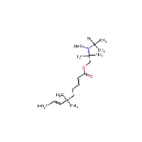 CCC(C)(C)N(OC)C(C)(C)COC(=O)CCCCC(C)(C)/C=C/C(=O)O